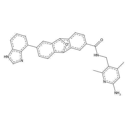 Cc1cc(N)nc(C)c1CNC(=O)c1ccc2c(c1)c1oc2c2cc(-c3cccc4[nH]cnc34)ccc21